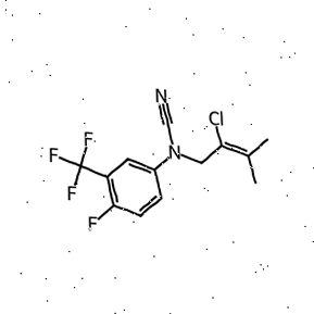 CC(C)=C(Cl)CN(C#N)c1ccc(F)c(C(F)(F)F)c1